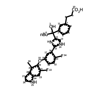 CCCCC(O)(c1cccc(CCC(=O)O)c1)c1c[nH]c(-c2cc(Oc3c(F)cc4[nH]ccc4c3C)ccc2F)n1